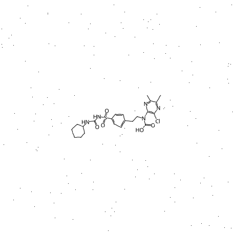 Cc1nc(Cl)c(N(CCc2ccc(S(=O)(=O)NC(=O)NC3CCCCC3)cc2)C(=O)O)nc1C